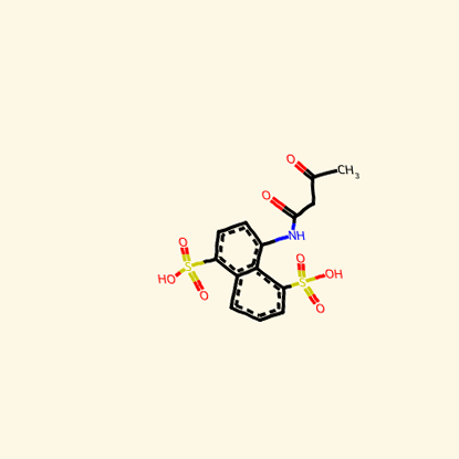 CC(=O)CC(=O)Nc1ccc(S(=O)(=O)O)c2cccc(S(=O)(=O)O)c12